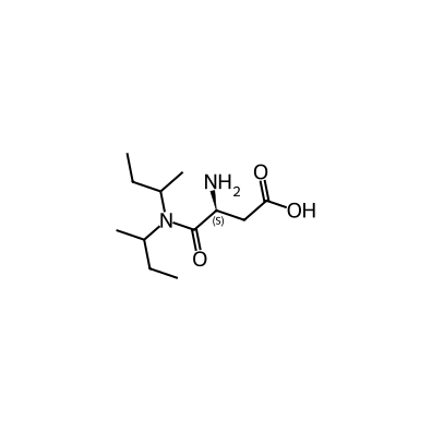 CCC(C)N(C(=O)[C@@H](N)CC(=O)O)C(C)CC